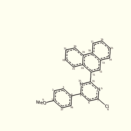 COc1ccc(-c2cc(Cl)nc(-c3cc4ccccc4c4ccccc34)n2)cc1